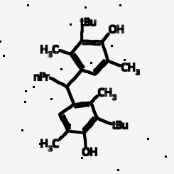 CCCC(c1cc(C)c(O)c(C(C)(C)C)c1C)c1cc(C)c(O)c(C(C)(C)C)c1C